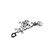 CCCCCCCCCCC(CN(CCCOC(=O)[C@@H](N)CCc1ccccc1)CC(CCCCCCCCCC)O[Si](C)(C)C(C)(C)C)O[Si](C)(C)C(C)(C)C